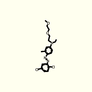 CCN(CCOCCOC)c1ccc(N=Nc2cc(Cl)ccc2Cl)c(C)c1